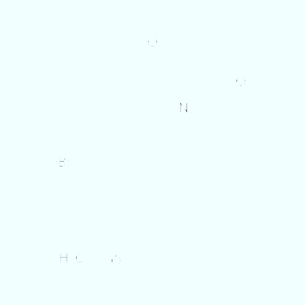 COc1ccc(CN2C(=O)COc3ccc(Br)cc32)cc1